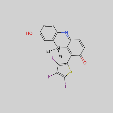 CC[Si]1(CC)C2=C(c3sc(I)c(I)c3I)C(=O)C=CC2=Nc2ccc(O)cc21